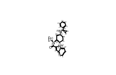 CCN(C(=O)c1cc2ncccc2[nH]1)C1CCC[C@H](NC2(c3ccccc3)CC2)C1